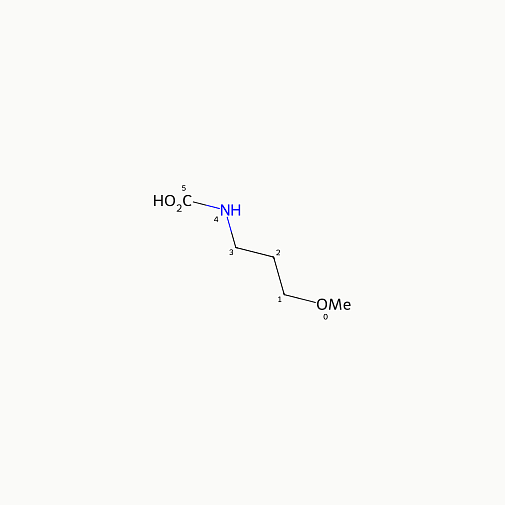 COCCCNC(=O)O